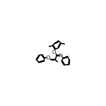 CC(=COc1ccccc1)C(=Nc1ccccc1)Oc1cc(C)ccc1C